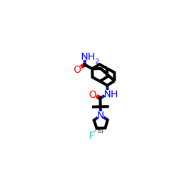 CC(C)(C(=O)NC1C2CC3CC1CC(C(N)=O)(C3)C2)N1CC[C@H](F)C1